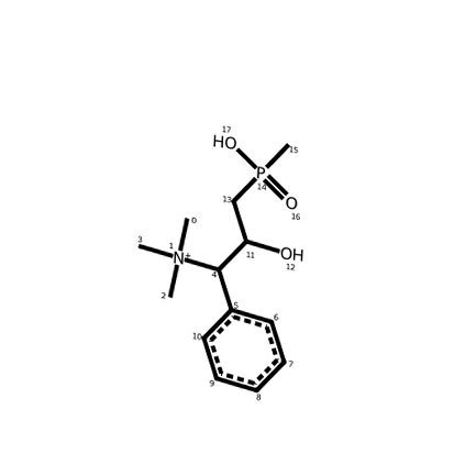 C[N+](C)(C)C(c1ccccc1)C(O)CP(C)(=O)O